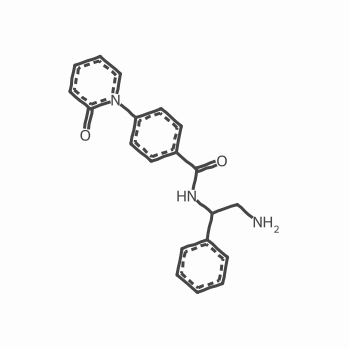 NCC(NC(=O)c1ccc(-n2ccccc2=O)cc1)c1ccccc1